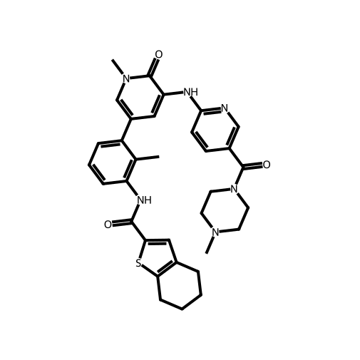 Cc1c(NC(=O)c2cc3c(s2)CCCC3)cccc1-c1cc(Nc2ccc(C(=O)N3CCN(C)CC3)cn2)c(=O)n(C)c1